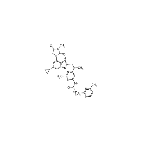 Cc1ccnc([C@H]2C[C@@H]2C(=O)Nc2cc(N(C)Cc3nc4cc(C5CC5)cc(N5CC(=O)N(C)C5=O)c4[nH]3)nc(C)n2)n1